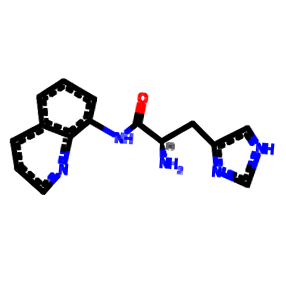 N[C@H](Cc1c[nH]cn1)C(=O)Nc1cccc2cccnc12